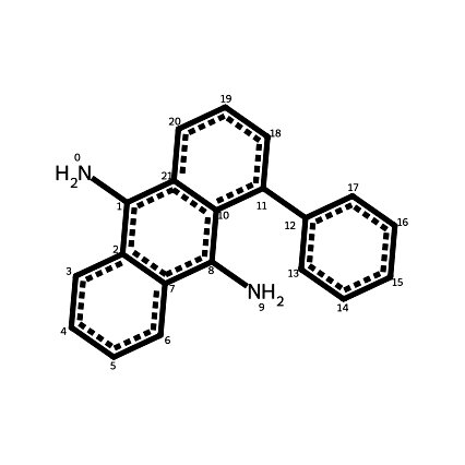 Nc1c2ccccc2c(N)c2c(-c3ccccc3)cccc12